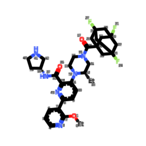 CCOc1ncccc1-c1ccc(N2CCN(C(=O)C34CC5(F)CC(F)(CC(F)(C5)C3)C4)C[C@H]2CC)c(C(=O)N[C@@H]2CCNC2)n1